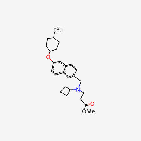 COC(=O)CCN(Cc1ccc2cc(OC3CCC(C(C)(C)C)CC3)ccc2c1)C1CCC1